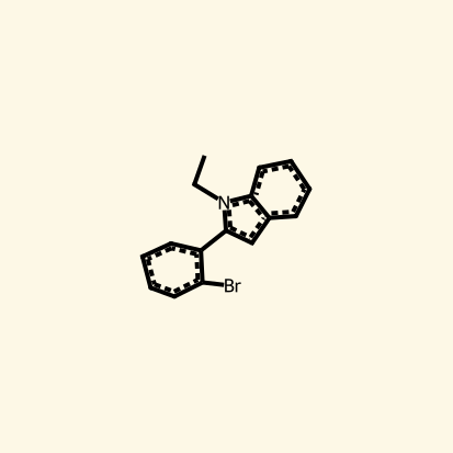 CCn1c(-c2ccccc2Br)cc2ccccc21